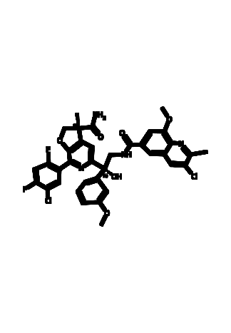 COc1cccc([C@](O)(CNC(=O)c2cc(OC)c3nc(C)c(Cl)cc3c2)c2cc3c(c(-c4cc(Cl)c(F)cc4F)n2)OC[C@]3(C)C(N)=O)c1